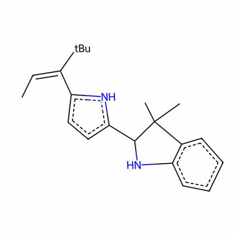 C/C=C(\c1ccc(C2Nc3ccccc3C2(C)C)[nH]1)C(C)(C)C